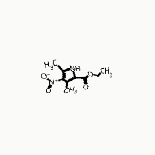 CCOC(=O)c1[nH]c(C)c([N+](=O)[O-])c1C